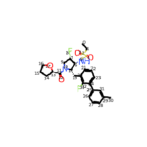 CCS(=O)(=O)N[C@H]1[C@@H](F)CN(C(=O)[C@H]2CCCO2)[C@H]1Cc1cccc(-c2cccc(C)c2)c1F